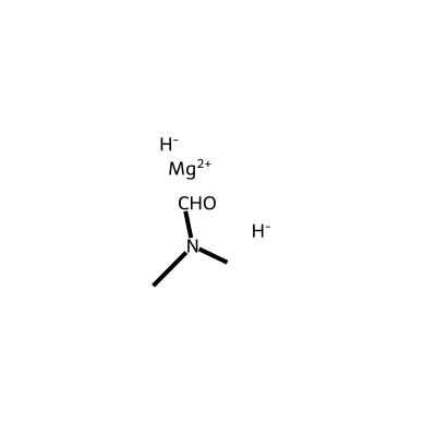 CN(C)C=O.[H-].[H-].[Mg+2]